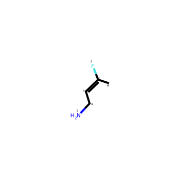 C/C(F)=C\CN